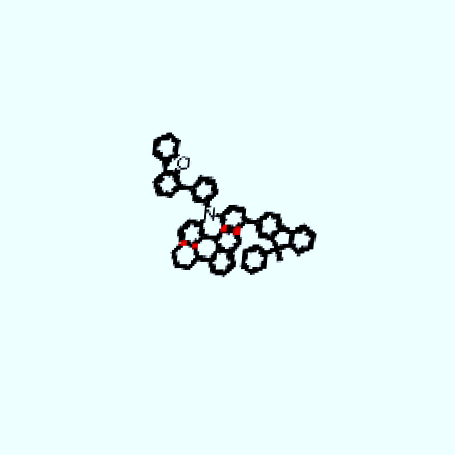 CC1(c2ccccc2)c2ccccc2-c2ccc(-c3ccc(N(c4cccc(-c5cccc6c5oc5ccccc56)c4)c4ccccc4-c4cccc5cccc(C6CCCCC6)c45)cc3)cc21